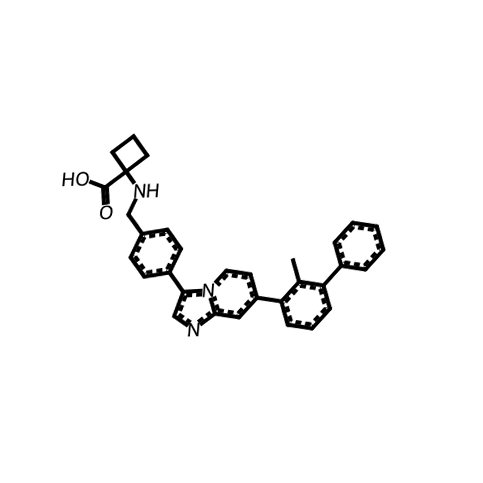 Cc1c(-c2ccccc2)cccc1-c1ccn2c(-c3ccc(CNC4(C(=O)O)CCC4)cc3)cnc2c1